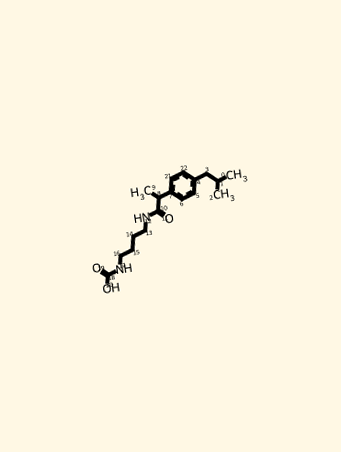 CC(C)Cc1ccc(C(C)C(=O)NCCCCNC(=O)O)cc1